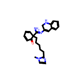 Cn1ccnc1CCCCCC1(C(N)=NC2=Cc3ccccc3NC2)C=CC=CC1=O